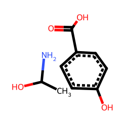 CC(N)O.O=C(O)c1ccc(O)cc1